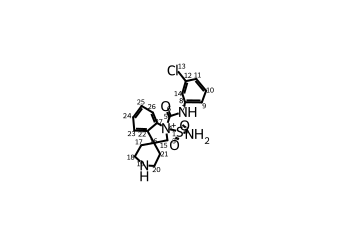 NS(=O)(=O)[N+]1(C(=O)Nc2cccc(Cl)c2)CC2(CCNCC2)c2ccccc21